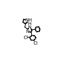 Clc1ccc(-c2nc(Cc3cc[nH]c3)[nH]c2-c2ccccc2)c(Cl)c1